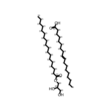 CCCCCCCCC=CCCCCCCCC(=O)O.CCCCCCCCCCCCCCCCCC(=O)OCC(O)CO